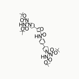 CC(C)(C)OC(=O)/N=C(/NC(=O)OC(C)(C)C)N1CC=C(c2ccc(NC(=O)c3cc(C4=CCN(/C(=N/C(=O)OC(C)(C)C)NC(=O)OC(C)(C)C)CC4)co3)cc2)CC1